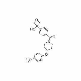 O=C(c1ccc(C2(O)COC2)cc1)N1CCC(Oc2ccc(C(F)(F)F)cn2)CC1